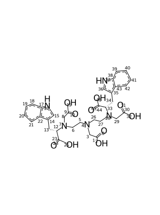 O=C(O)CN(CCN(CC(=O)O)[C@@H](Cc1c[nH]c2ccccc12)C(=O)O)CCN(CC(=O)O)[C@@H](Cc1c[nH]c2ccccc12)C(=O)O